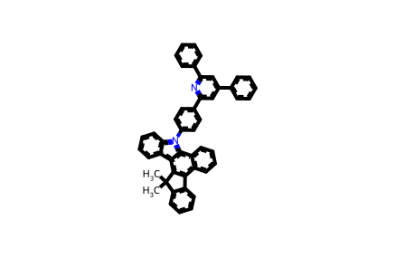 CC1(C)c2ccccc2-c2c1c1c3ccccc3n(-c3ccc(-c4cc(-c5ccccc5)cc(-c5ccccc5)n4)cc3)c1c1ccccc21